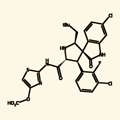 CC(C)(C)C[C@@H]1N[C@@H](C(=O)Nc2nc(OC(=O)O)cs2)[C@H](c2cccc(Cl)c2F)[C@]12C(=O)Nc1cc(Cl)ccc12